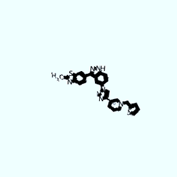 Cc1nc2ccc(-c3n[nH]c4ccc(-n5cc([C@@H]6CCCN(Cc7cccs7)C6)nn5)cc34)cc2s1